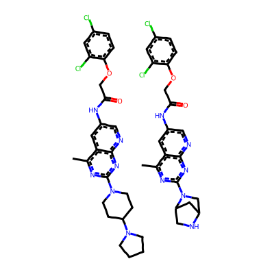 Cc1nc(N2CC3CC2CN3)nc2ncc(NC(=O)COc3ccc(Cl)cc3Cl)cc12.Cc1nc(N2CCC(N3CCCC3)CC2)nc2ncc(NC(=O)COc3ccc(Cl)cc3Cl)cc12